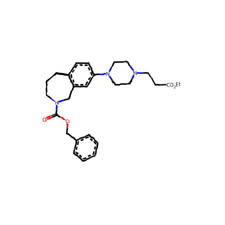 CCOC(=O)CCN1CCN(c2ccc3c(c2)CN(C(=O)OCc2ccccc2)CCC3)CC1